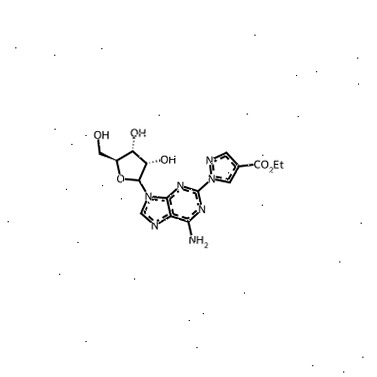 CCOC(=O)c1cnn(-c2nc(N)c3ncn(C4O[C@@H](CO)[C@H](O)[C@@H]4O)c3n2)c1